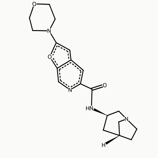 O=C(N[C@@H]1C[C@H]2CCN(C2)C1)c1cc2cc(N3CCOCC3)oc2cn1